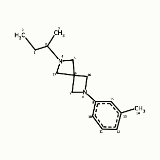 CCC(C)N1CC2(CN(c3cccc(C)c3)C2)C1